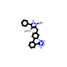 CCCCN1NC(c2ccccc2)C(C(=O)OCC)=C1Cc1ccc(-c2ccccc2-c2nnn[nH]2)cc1